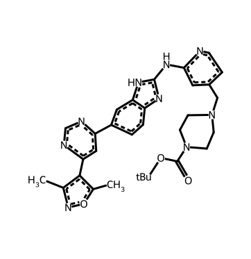 Cc1noc(C)c1-c1cc(-c2ccc3nc(Nc4cc(CN5CCN(C(=O)OC(C)(C)C)CC5)ccn4)[nH]c3c2)ncn1